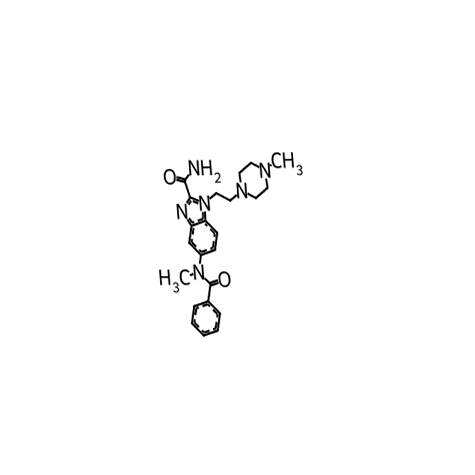 CN1CCN(CCn2c(C(N)=O)nc3cc(N(C)C(=O)c4ccccc4)ccc32)CC1